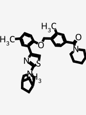 Cc1ccc(OCc2ccc(C(=O)N3CCCCC3)cc2C)c(-c2csc(N3CC4CCC(C3)C4C)n2)c1